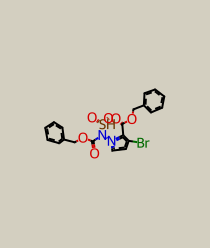 O=C(OCc1ccccc1)c1c(Br)ccn1N(C(=O)OCc1ccccc1)[SH](=O)=O